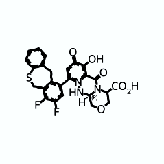 O=C(O)C1COC[C@H]2Nn3c(-c4cc(F)c(F)c5c4Cc4ccccc4SC5)cc(=O)c(O)c3C(=O)N12